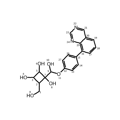 OCC1C(O)C(O)C1(O)C(O)Oc1ccc(-c2cccc3cncnc23)cc1